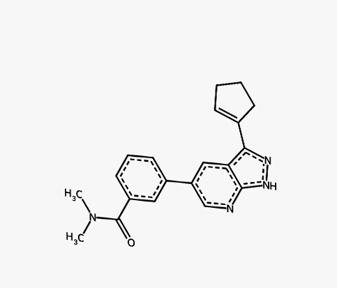 CN(C)C(=O)c1cccc(-c2cnc3[nH]nc(C4=CCCC4)c3c2)c1